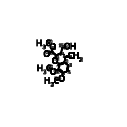 C=Cc1ccc(OC)c(OC)c1OC(CCO)C(=O)OC